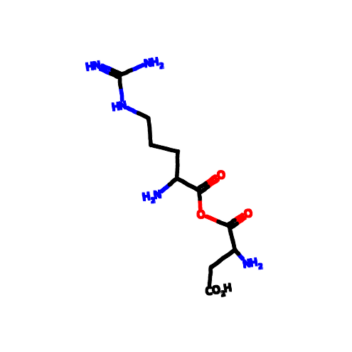 N=C(N)NCCCC(N)C(=O)OC(=O)C(N)CC(=O)O